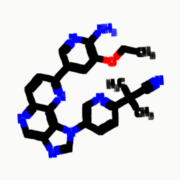 CCOc1cc(-c2ccc3ncc4ncn(-c5ccc(C(C)(C)C#N)nc5)c4c3n2)cnc1N